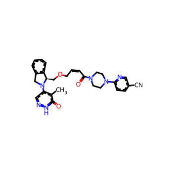 Cc1c(N2Cc3ccccc3[C@H]2COC/C=C\C(=O)N2CCN(c3ccc(C#N)cn3)CC2)cn[nH]c1=O